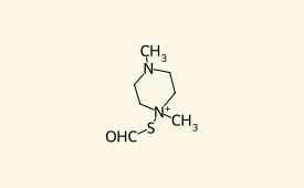 CN1CC[N+](C)(SC=O)CC1